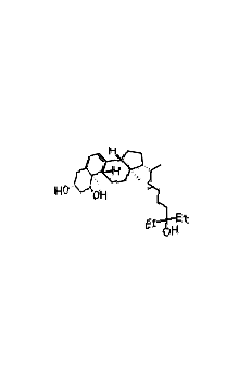 CCC(O)(CC)CCCSC(C)[C@H]1CC[C@H]2C3=CC=C4C[C@@H](O)C[C@H](O)[C@]4(C)[C@H]3CC[C@]12C